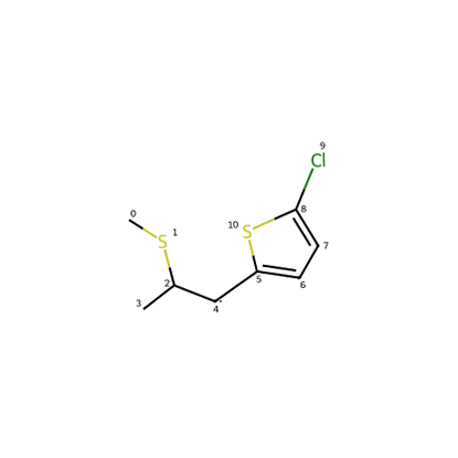 CSC(C)[CH]c1ccc(Cl)s1